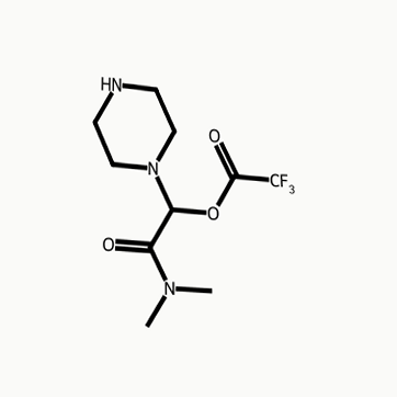 CN(C)C(=O)C(OC(=O)C(F)(F)F)N1CCNCC1